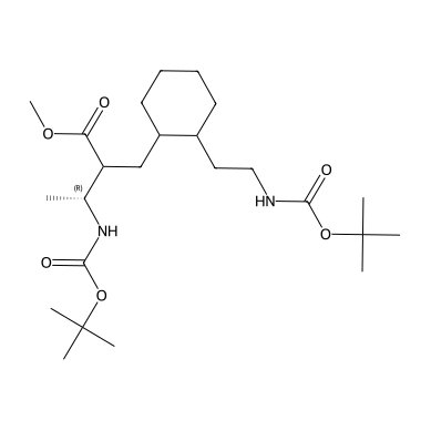 COC(=O)C(CC1CCCCC1CCNC(=O)OC(C)(C)C)[C@@H](C)NC(=O)OC(C)(C)C